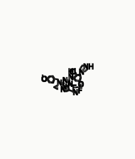 COc1ccc(CN(c2nc(Nc3cc(OC(F)F)cc(N4CCNCC4)c3Cl)nc3c(C#N)cnn23)C2CC2)cc1